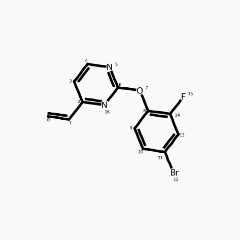 C=Cc1ccnc(Oc2ccc(Br)cc2F)n1